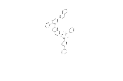 C1=CCCC(c2ccc(-c3nc(-c4ccccc4)nc(-c4ccc5ccc(-c6cc(-c7ccc8ccccc8c7)cc7oc8ccccc8c67)cc5c4)n3)cc2)=C1